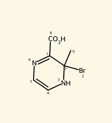 CC1(Br)NC=CN=C1C(=O)O